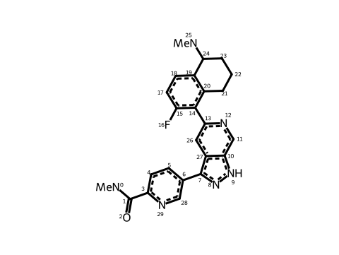 CNC(=O)c1ccc(-c2n[nH]c3cnc(-c4c(F)ccc5c4CCCC5NC)cc23)cn1